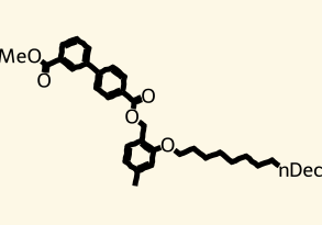 CCCCCCCCCCCCCCCCCCOc1cc(C)ccc1COC(=O)c1ccc(-c2cccc(C(=O)OC)c2)cc1